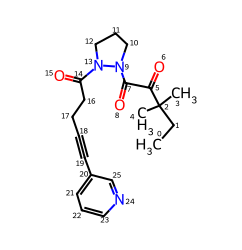 CCC(C)(C)C(=O)C(=O)N1CCCN1C(=O)CCC#Cc1cccnc1